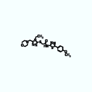 CCn1c(CN2CCOCC2)nnc1SCC(=O)Nc1nnc(-c2ccc(OC)cc2)s1